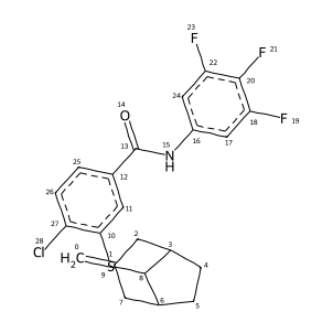 C=C1CC2CCC(C1)C2Sc1cc(C(=O)Nc2cc(F)c(F)c(F)c2)ccc1Cl